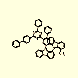 Cc1cccc2c3ccccc3n(-c3cccc4c5ccccc5n(-c5ccc(-c6ccccc6)c(-c6nc(-c7ccccc7)nc(-c7ccc(-c8ccccc8)cc7)n6)c5)c34)c12